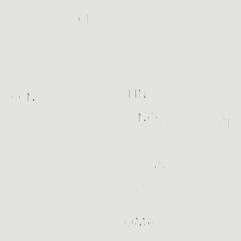 COC(=O)c1ccc([N+](=O)[O-])cc1[N+](=O)[O-].ClCCNCCCl